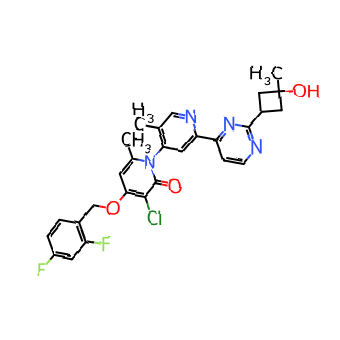 Cc1cnc(-c2ccnc(C3CC(C)(O)C3)n2)cc1-n1c(C)cc(OCc2ccc(F)cc2F)c(Cl)c1=O